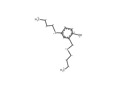 CCCCSCc1cc(SCCCC)ccc1O